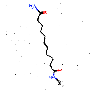 NC(=O)CCCCCCCCCC(=O)N[SiH3]